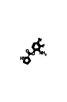 Nc1c(OC(=O)[C@@H]2CCCN2)ccc(Br)c1F